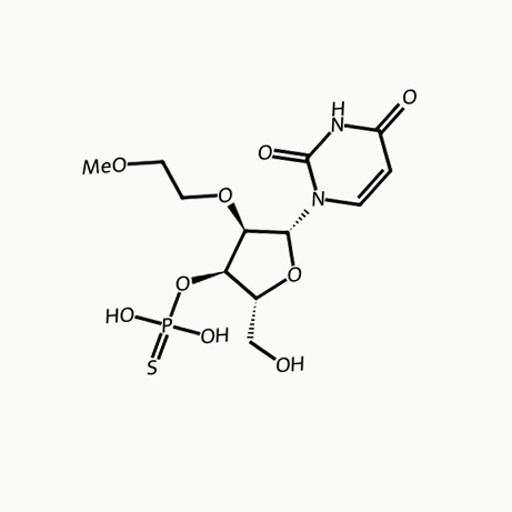 COCCO[C@@H]1[C@H](OP(O)(O)=S)[C@@H](CO)O[C@H]1n1ccc(=O)[nH]c1=O